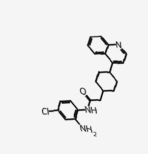 Nc1cc(Cl)ccc1NC(=O)CC1CCC(c2ccnc3ccccc23)CC1